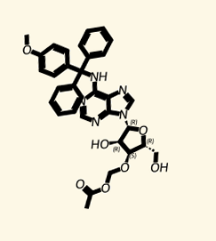 COc1ccc(C(Nc2ncnc3c2ncn3[C@@H]2O[C@H](CO)[C@@H](OCOC(C)=O)[C@H]2O)(c2ccccc2)c2ccccc2)cc1